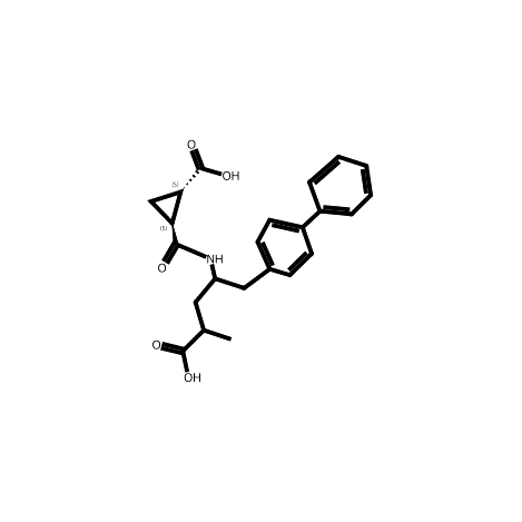 CC(CC(Cc1ccc(-c2ccccc2)cc1)NC(=O)[C@H]1C[C@@H]1C(=O)O)C(=O)O